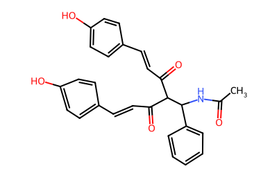 CC(=O)NC(c1ccccc1)C(C(=O)C=Cc1ccc(O)cc1)C(=O)C=Cc1ccc(O)cc1